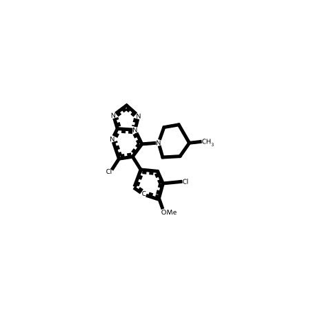 COc1ccc(-c2c(Cl)nc3ncnn3c2N2CCC(C)CC2)cc1Cl